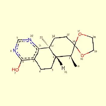 C[C@H]1[C@@H]2CCc3c(O)ncnc3[C@@]2(C)CCC12OCCO2